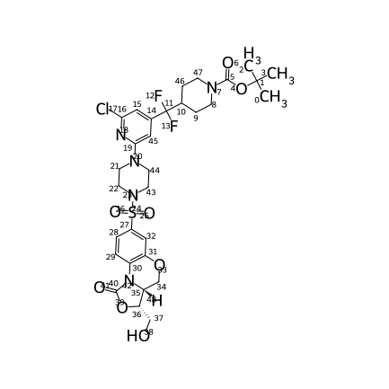 CC(C)(C)OC(=O)N1CCC(C(F)(F)c2cc(Cl)nc(N3CCN(S(=O)(=O)c4ccc5c(c4)OC[C@@H]4[C@H](CO)OC(=O)N54)CC3)c2)CC1